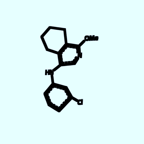 COc1ncc(Nc2cccc(Cl)c2)c2c1CCCC2